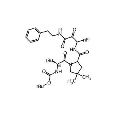 CCCC(NC(=O)C1CC(C)(C)CN1C(=O)[C@@H](NC(=O)OC(C)(C)C)C(C)(C)C)C(=O)C(=O)NCCc1ccccc1